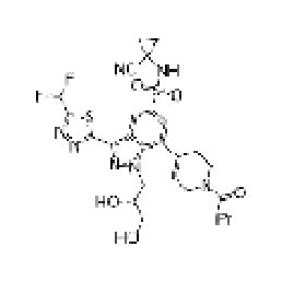 CC(C)C(=O)N1CC=C(c2cc(S(=O)(=O)NC3(C#N)CC3)cc3c(-c4nnc(C(F)F)s4)nn(C[C@@H](O)CO)c23)CC1